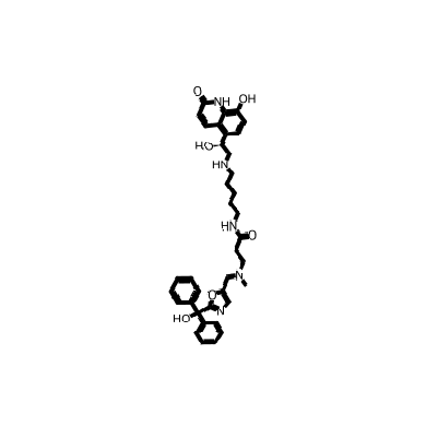 CN(CCC(=O)NCCCCCNC[C@@H](O)c1ccc(O)c2[nH]c(=O)ccc12)Cc1cnc(C(O)(c2ccccc2)c2ccccc2)o1